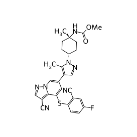 COC(=O)N[C@]1(C)CC[C@H](n2ncc(-c3cc(Sc4ccc(F)cc4C#N)c4c(C#N)cnn4c3)c2C)CC1